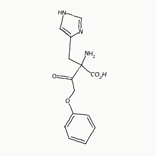 NC(Cc1c[nH]cn1)(C(=O)O)C(=O)COc1ccccc1